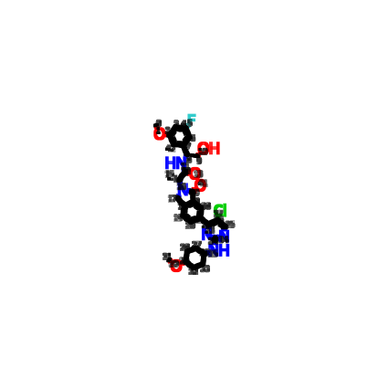 COc1cc(F)cc([C@@H](CO)NC(=O)[C@@H](C)N2Cc3ccc(-c4nc(NC5CCC(OC)CC5)ncc4Cl)cc3C2=O)c1